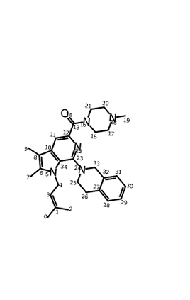 CC(C)=CCn1c(C)c(C)c2cc(C(=O)N3CCN(C)CC3)nc(N3CCc4ccccc4C3)c21